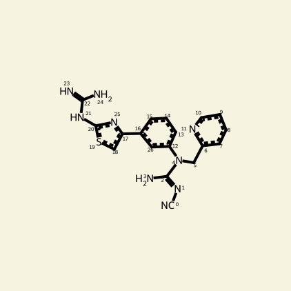 N#CN=C(N)N(Cc1ccccn1)c1cccc(-c2csc(NC(=N)N)n2)c1